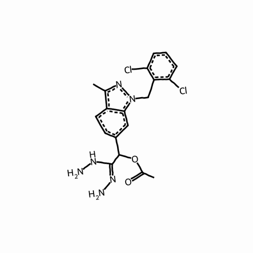 CC(=O)OC(/C(=N/N)NN)c1ccc2c(C)nn(Cc3c(Cl)cccc3Cl)c2c1